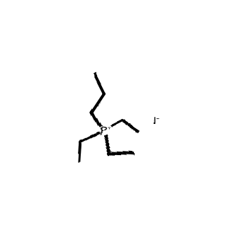 CCC[P+](CC)(CC)CC.[I-]